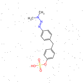 CN(C)N=Nc1ccc(Cc2ccc(OS(=O)(=O)O)cc2)cc1